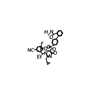 CCC(c1cc(F)cc(C#N)c1)n1c(CC2CC2)nc(=O)c(S(=O)(=O)c2ccc(-c3ccccc3C(N)=O)cc2)c1O